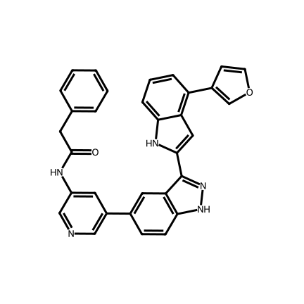 O=C(Cc1ccccc1)Nc1cncc(-c2ccc3[nH]nc(-c4cc5c(-c6ccoc6)cccc5[nH]4)c3c2)c1